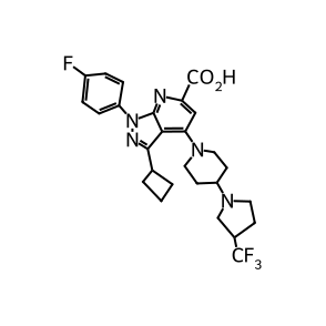 O=C(O)c1cc(N2CCC(N3CCC(C(F)(F)F)C3)CC2)c2c(C3CCC3)nn(-c3ccc(F)cc3)c2n1